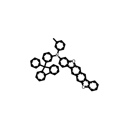 Cc1cccc(N(c2cccc(C3(c4ccccc4)c4ccccc4-c4ccccc43)c2)c2ccc3c(c2)oc2cc4cc5c(cc4cc23)oc2ccccc25)c1